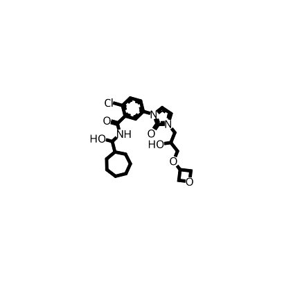 O=C(NC(O)C1CCCCCC1)c1cc(-n2ccn(CC(O)COC3COC3)c2=O)ccc1Cl